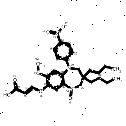 CCCCC1(CCCC)CN(c2ccc([N+](=O)[O-])cc2)c2cc(SC)c(O/C=C/C(=O)O)cc2[S+]([O-])C1